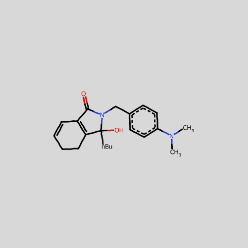 CCCCC1(O)C2=C(C=CCC2)C(=O)N1Cc1ccc(N(C)C)cc1